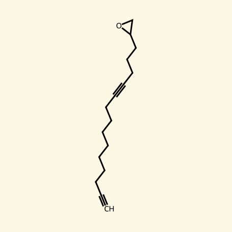 C#CCCCCCCCC#CCCCC1CO1